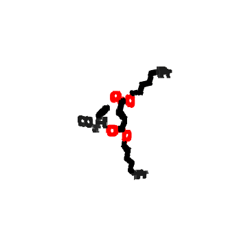 C=CC(=O)O.CC(C)CCCCCOC(=O)CCC(=O)OCCCCCC(C)C